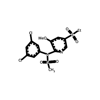 CCS(=O)(=O)c1cnc(N(c2cc(Cl)cc(Cl)c2)S(C)(=O)=O)c(OC)c1